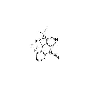 CC(C)OCC1(C(F)(F)F)c2ccccc2N(C#N)c2cnccc21